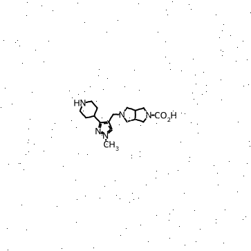 Cn1cc(CN2CC3CN(C(=O)O)CC3C2)c(C2CCNCC2)n1